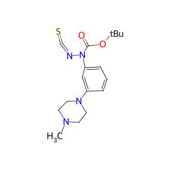 CN1CCN(c2cccc(N(N=C=S)C(=O)OC(C)(C)C)c2)CC1